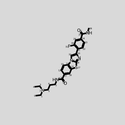 CCN(CC)CCCNC(=O)c1ccc2c(c1)sc1nc(-c3ccc(C(=O)NC)cc3F)cn12